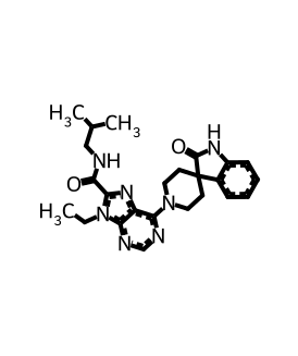 CCn1c(C(=O)NCC(C)C)nc2c(N3CCC4(CC3)C(=O)Nc3ccccc34)ncnc21